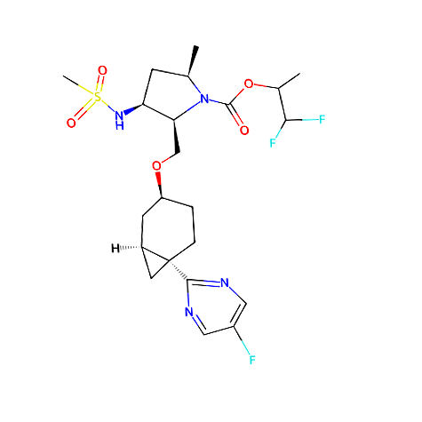 CC(OC(=O)N1[C@H](C)C[C@H](NS(C)(=O)=O)[C@@H]1CO[C@H]1CC[C@@]2(c3ncc(F)cn3)C[C@H]2C1)C(F)F